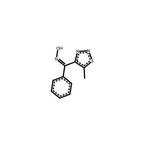 Cc1snnc1C(=NO)c1ccccc1